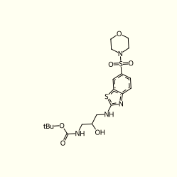 CC(C)(C)OC(=O)NCC(O)CNc1nc2ccc(S(=O)(=O)N3CCOCC3)cc2s1